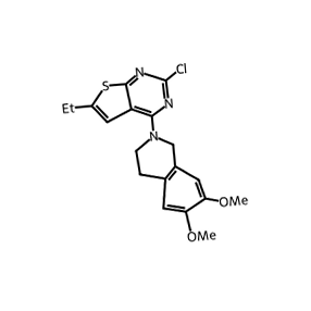 CCc1cc2c(N3CCc4cc(OC)c(OC)cc4C3)nc(Cl)nc2s1